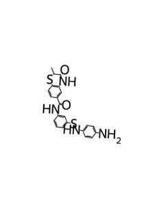 CC1Sc2ccc(C(=O)Nc3cccc(SNc4ccc(N)cc4)c3)cc2NC1=O